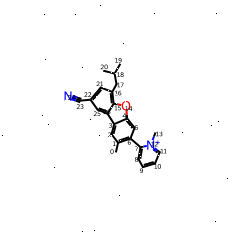 Cc1cc2c(cc1-c1cccc[n+]1C)oc1c(CC(C)C)cc(C#N)cc12